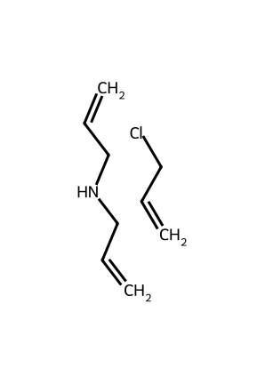 C=CCCl.C=CCNCC=C